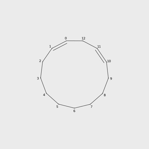 C1=CCCCCCCCCC=CC1